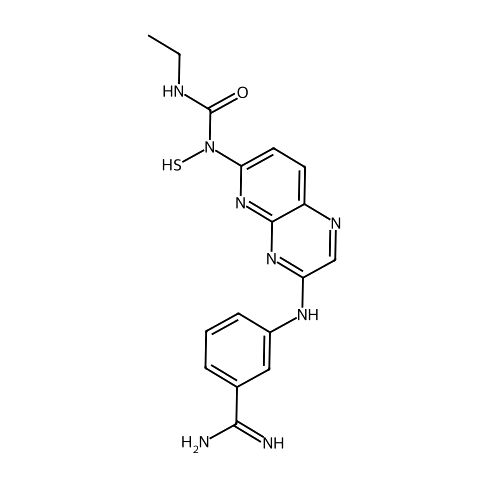 CCNC(=O)N(S)c1ccc2ncc(Nc3cccc(C(=N)N)c3)nc2n1